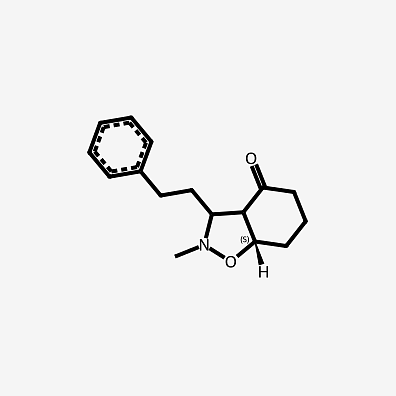 CN1O[C@H]2CCCC(=O)C2C1CCc1ccccc1